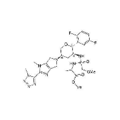 COCP(=O)(NC(C)C(=O)OC(C)C)N[C@H]1C[C@@H](N2Cc3nc(-c4nnnn4C)n(C)c3C2)CO[C@@H]1c1cc(F)ccc1F